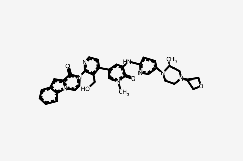 C[C@H]1CN(C2COC2)CCN1c1ccc(Nc2cc(-c3ccnc(-n4ccn5c(cc6ccccc65)c4=O)c3CO)cn(C)c2=O)nc1